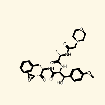 COc1ccc([C@@H](O)[C@H](NC(=O)[C@H](C)NC(=O)CN2CCOCC2)C(=O)N[C@@H](Cc2ccccc2)C(=O)[C@H]2CO2)cc1